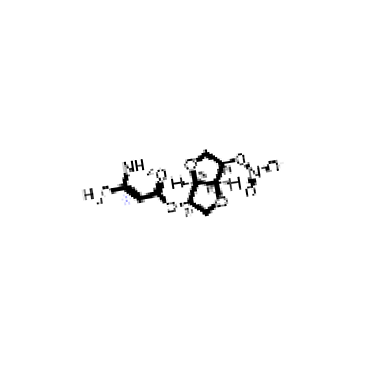 C/C(N)=C/C(=O)O[C@H]1CO[C@H]2[C@@H]1OC[C@H]2O[N+](=O)[O-]